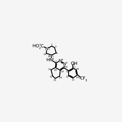 O=C(O)N1CCC[C@@H](Nc2nnc(-c3ccc(C(F)(F)F)cc3O)c3c2CCCC3)C1